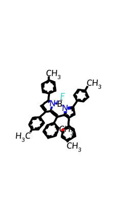 Cc1ccc(C2=CC(c3ccc(C)cc3)=[N+]3B(F)n4c(-c5ccc(C)cc5)cc(-c5ccc(C)cc5)c4C(c4ccccc4C)=C23)cc1